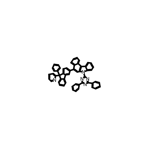 c1ccc(-c2nc(-c3ccccc3)nc(-n3c4ccccc4c4c5ccccc5c(-c5ccc6c(c5)-c5ccccc5C6(c5ccccc5)c5ccccn5)cc43)n2)cc1